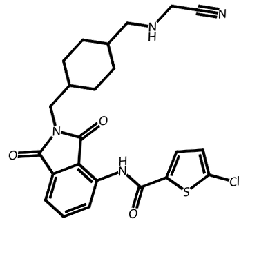 N#CCNCC1CCC(CN2C(=O)c3cccc(NC(=O)c4ccc(Cl)s4)c3C2=O)CC1